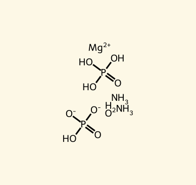 N.N.O.O=P(O)(O)O.O=P([O-])([O-])O.[Mg+2]